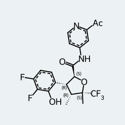 CC(=O)c1cc(NC(=O)[C@H]2O[C@](C)(C(F)(F)F)[C@H](C)[C@@H]2c2ccc(F)c(F)c2O)ccn1